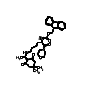 CC(NCCCC[C@@H](NC(=O)OCC1c2ccccc2-c2ccccc21)C(=O)N1CCOCC1)=C1C(=O)CC(C)(C)CC1=O